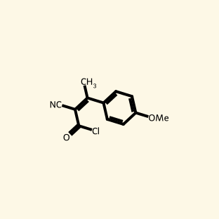 COc1ccc(C(C)=C(C#N)C(=O)Cl)cc1